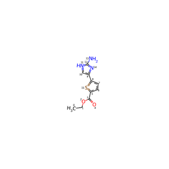 CCOC(=O)c1ccc(-c2c[nH]c(N)n2)s1